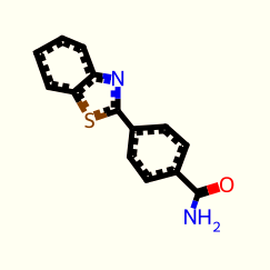 NC(=O)c1ccc(-c2nc3ccccc3s2)cc1